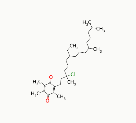 CCC(CCCC(C)CCCC(C)C)CCCC(C)(Cl)CCC1=C(C)C(=O)C(C)=C(C)C1=O